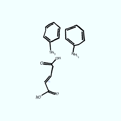 Nc1ccccc1.Nc1ccccc1.O=C(O)/C=C/C(=O)O